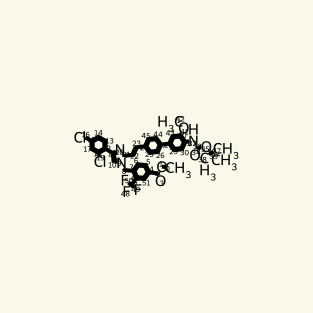 COC(=O)c1ccc(Cn2cc(-c3ccc(Cl)cc3Cl)nc2C=Cc2ccc(-c3ccc(NC(=O)OC(C)(C)C)c(OC)c3)cc2)c(C(F)(F)F)c1